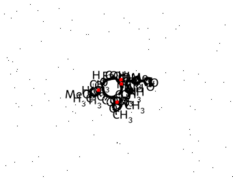 CC[C@H]1OC(=O)[C@H](C)[C@@H](O[C@H]2C[C@@](C)(OC)C[C@H](C)O2)[C@H](C)[C@@H](O[C@@H]2O[C@H](C)C[C@H](N(C)CCC3=CN([C@H](CF)[C@H](OC)c4ccc(C5=CCS(=O)(=O)C5)cc4)NN3)[C@H]2O)[C@](C)(O)C[C@@H](C)CN(C)[C@H](C)[C@@H](O)[C@]1(C)O